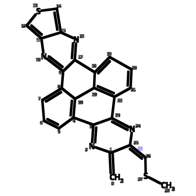 C=c1nc2c3cccc4c5nc6cscc6nc5c5cccc(c2n/c1=C/SC)c5c34